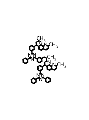 Cc1ccc2ccc3c(-c4cccc(-c5nc(-c6ccccc6)nc(-c6cccc(CC(C)c7cc(-c8cccc(-c9nc(-c%10ccccc%10)nc(-c%10ccccc%10)n9)c8)c8ccc9ccc(C)nc9c8n7)c6)n5)c4)cc(C)nc3c2n1